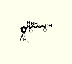 CCOc1cccc(NC(=O)C(N)CCCCC(=O)O)c1